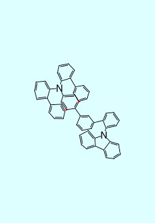 c1ccc(-c2ccccc2N(c2ccc(-c3cccc(-c4ccccc4-n4c5ccccc5c5ccccc54)c3)cc2)c2ccccc2-c2ccccc2)cc1